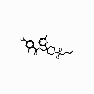 CCCCS(=O)(=O)N1CCC(CNC(=O)c2ccc(Cl)cc2C)(c2cccc(C)n2)CC1